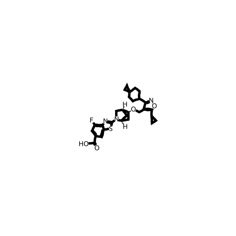 O=C(O)c1cc(F)c2nc(N3C[C@@H]4C[C@H]3C[C@H]4OCc3c(C4CCC5(CC4)CC5)noc3C3CC3)sc2c1